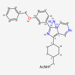 CC(=O)NCC1CCC(C2=C3C=NC=C[N+]3(N)C(c3cccc(OCc4ccccc4)c3)=N2)CC1